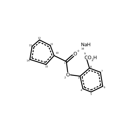 O=C(Oc1ccccc1C(=O)O)c1ccccc1.[NaH]